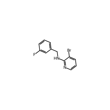 Fc1cccc(CNc2ncccc2Br)c1